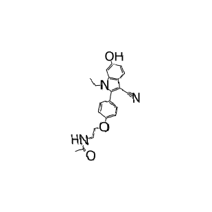 CCn1c(-c2ccc(OCCNC(C)=O)cc2)c(C#N)c2ccc(O)cc21